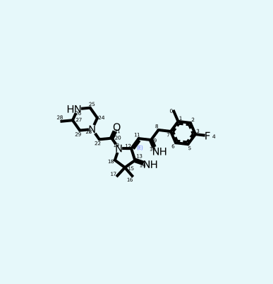 Cc1cc(F)ccc1CC(=N)/C=C1\C(=N)C(C)(C)CN1C(=O)CN1CCNC(C)C1